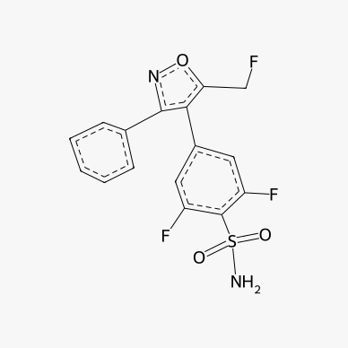 NS(=O)(=O)c1c(F)cc(-c2c(-c3ccccc3)noc2CF)cc1F